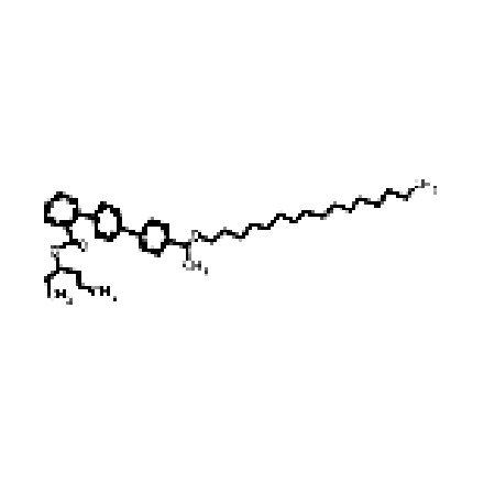 CCCCCCCCCCCCCCCCOC(C)c1ccc(-c2ccc(-c3ccccc3C(=O)OC(CC)CCC)cc2)cc1